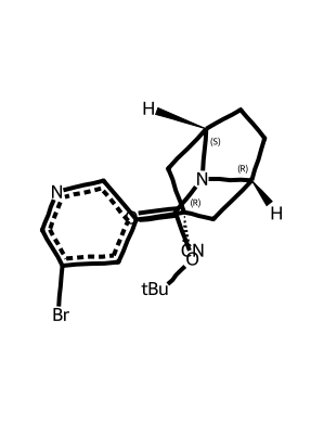 CC(C)(C)OC(=O)N1[C@@H]2CC[C@H]1C[C@](C#N)(c1cncc(Br)c1)C2